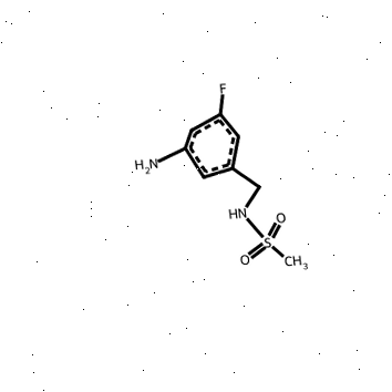 CS(=O)(=O)NCc1cc(N)cc(F)c1